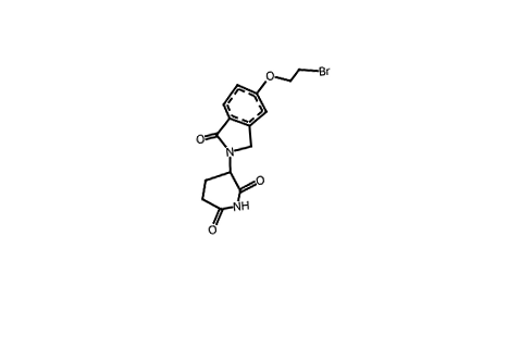 O=C1CCC(N2Cc3cc(OCCBr)ccc3C2=O)C(=O)N1